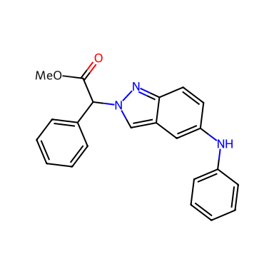 COC(=O)C(c1ccccc1)n1cc2cc(Nc3ccccc3)ccc2n1